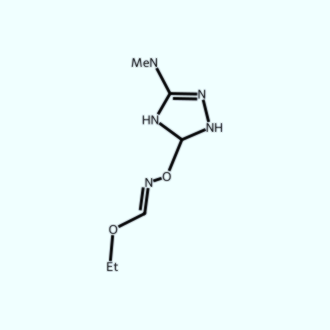 CCOC=NOC1NN=C(NC)N1